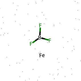 FB(F)F.[Fe]